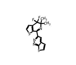 CC1(C)N=C(c2cc3ccsc3nn2)c2sccc2C1(F)F